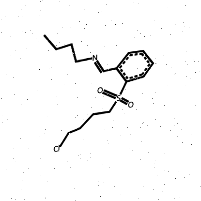 CCCCN=Cc1ccccc1S(=O)(=O)CCCCCl